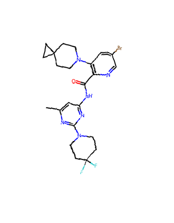 Cc1cc(NC(=O)c2ncc(Br)cc2N2CCC3(CC2)CC3)nc(N2CCC(F)(F)CC2)n1